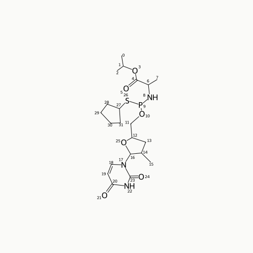 CC(C)OC(=O)C(C)NP(OCC1CC(C)C(n2ccc(=O)[nH]c2=O)O1)SC1CCCC1